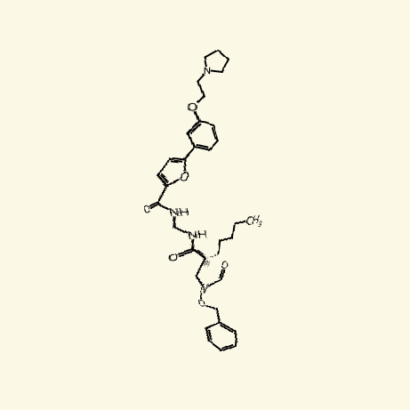 CCCCC[C@H](CN(C=O)OCc1ccccc1)C(=O)NCNC(=O)c1ccc(-c2cccc(OCCN3CCCC3)c2)o1